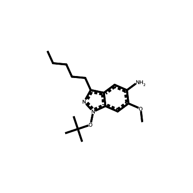 CCCCCc1nn(OC(C)(C)C)c2cc(OC)c(N)cc12